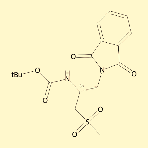 CC(C)(C)OC(=O)N[C@H](CN1C(=O)c2ccccc2C1=O)CS(C)(=O)=O